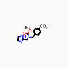 CC(C)(C)OC(=O)N(Cc1ccc(C(=O)O)cc1)Cc1ncc[nH]1